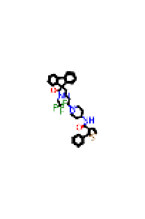 O=C(NC1CCN(CCCCC2(C(=O)NCC(F)(F)F)c3ccccc3-c3ccccc32)CC1)c1ccsc1-c1ccccc1